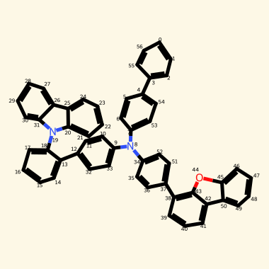 c1ccc(-c2ccc(N(c3ccc(-c4ccccc4-n4c5ccccc5c5ccccc54)cc3)c3ccc(-c4cccc5c4oc4ccccc45)cc3)cc2)cc1